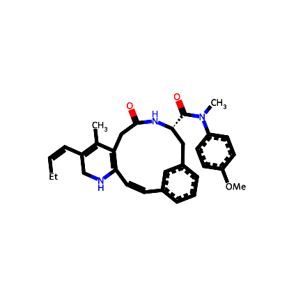 CC/C=C\C1=C(C)C2=C(/C=C\c3cccc(c3)C[C@@H](C(=O)N(C)c3ccc(OC)cc3)NC(=O)C2)NC1